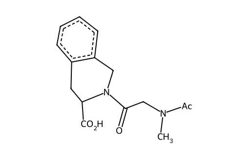 CC(=O)N(C)CC(=O)N1Cc2ccccc2CC1C(=O)O